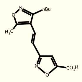 CCCCc1noc(C)c1/C=C/c1cc(C(=O)O)on1